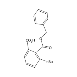 CCCCc1cccc(C(=O)O)c1C(=O)OCc1ccccc1